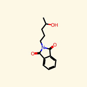 CC(O)CCCN1C(=O)c2ccccc2C1=O